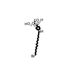 O=C(O)CC(OC(=O)c1ccc(NCCCCCCCCCCCCCCCCBr)cc1)C(=O)O